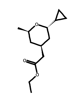 CCOC(=O)C[C@H]1C[C@@H](C)O[C@H](C2CC2)C1